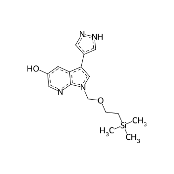 C[Si](C)(C)CCOCn1cc(-c2cn[nH]c2)c2cc(O)cnc21